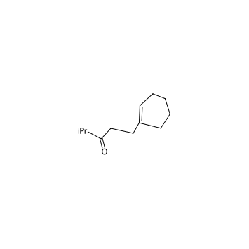 CC(C)C(=O)CCC1=CCCCC1